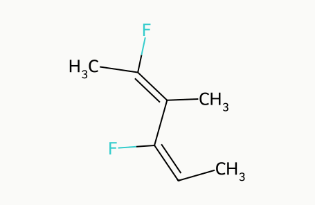 C/C=C(F)\C(C)=C(/C)F